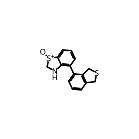 [O-][S+]1CNc2c(-c3cccc4c3CSC4)cccc21